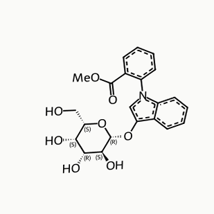 COC(=O)c1ccccc1-n1cc(O[C@H]2O[C@@H](CO)[C@@H](O)[C@@H](O)[C@@H]2O)c2ccccc21